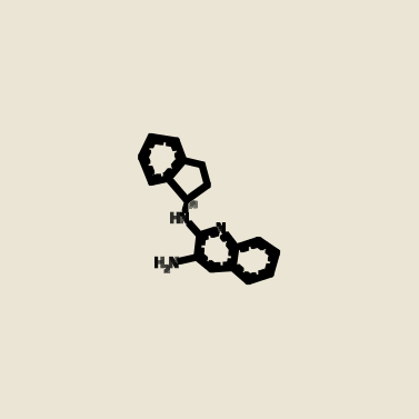 Nc1cc2ccccc2nc1N[C@@H]1CCc2ccccc21